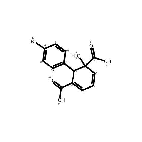 CC1(C(=O)O)C=CC=C(C(=O)O)C1c1ccc(Br)cc1